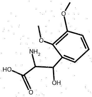 COc1cccc(C(O)C(N)C(=O)O)c1OC